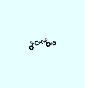 O=C(c1ccccc1)N1CCN(C2CN(C(=O)c3cccc(-n4cccc4)c3)C2)CC1